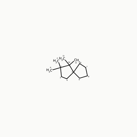 CC1(C)CCC2(CCCC2)C1(C)C